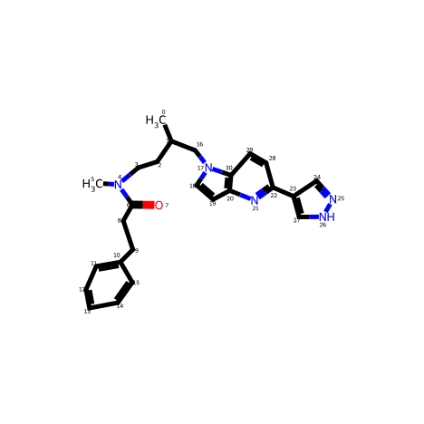 CC(CCN(C)C(=O)CCc1ccccc1)Cn1ccc2nc(-c3cn[nH]c3)ccc21